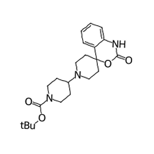 CC(C)(C)OC(=O)N1CCC(N2CCC3(CC2)OC(=O)Nc2ccccc23)CC1